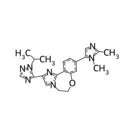 Cc1ncc(-c2ccc3c(c2)OCCn2cc(-c4ncnn4C(C)C)nc2-3)n1C